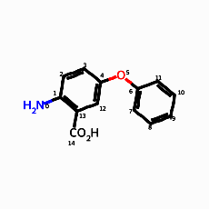 Nc1ccc(Oc2cc[c]cc2)cc1C(=O)O